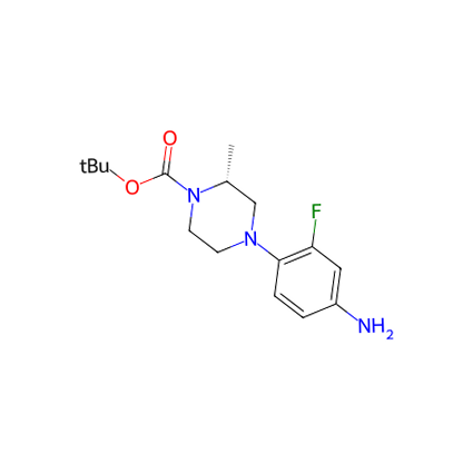 C[C@@H]1CN(c2ccc(N)cc2F)CCN1C(=O)OC(C)(C)C